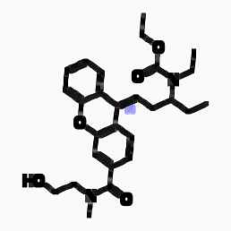 CCOC(=O)N(CC)C(CC)C/C=C1/c2ccccc2Oc2cc(C(=O)N(C)CCO)ccc21